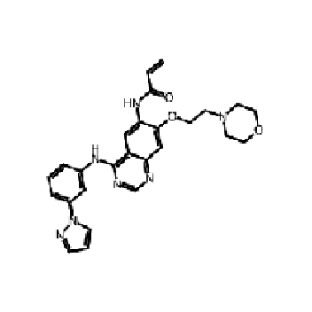 C=CC(=O)Nc1cc2c(Nc3cccc(-n4cccn4)c3)ncnc2cc1OCCN1CCOCC1